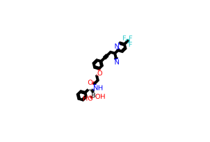 N#CC(CC#Cc1cccc(OCCC(=O)N[C@@H](Cc2ccccc2)B(O)O)c1)c1ccc(C(F)(F)F)cn1